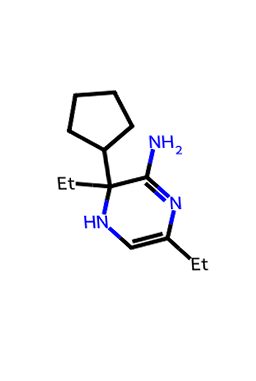 CCC1=CNC(CC)(C2CCCC2)C(N)=N1